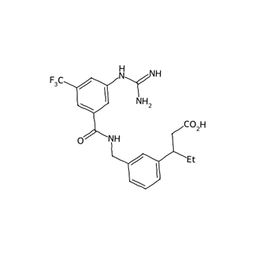 CCC(CC(=O)O)c1cccc(CNC(=O)c2cc(NC(=N)N)cc(C(F)(F)F)c2)c1